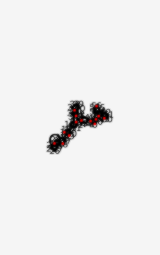 c1cc(-c2ccc(N(c3ccc(-c4ccc(-c5ccc6c(c5)oc5ccccc56)cc4)cc3)c3ccc4ccccc4c3)cc2)cc(-n2c3ccccc3c3ccccc32)c1